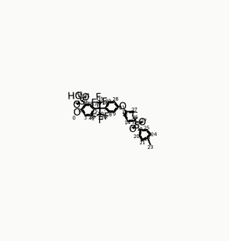 COc1ccc(C(c2ccc(Oc3ccc(S(=O)(=O)c4ccc(C)cc4)cc3)cc2)(C(F)(F)F)C(F)(F)F)cc1S(=O)(=O)O